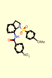 COc1ccc(S(=O)(=O)N2CCc3cccc(NC(=O)c4ccc([N+](=O)[O-])cc4)c32)cc1